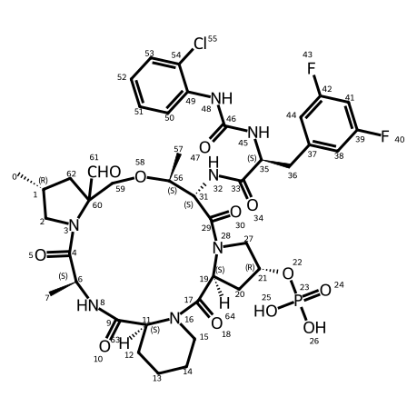 C[C@H]1CN2C(=O)[C@H](C)NC(=O)[C@@H]3CCCCN3C(=O)[C@@H]3C[C@@H](OP(=O)(O)O)CN3C(=O)[C@@H](NC(=O)[C@H](Cc3cc(F)cc(F)c3)NC(=O)Nc3ccccc3Cl)[C@H](C)OCC2(C=O)C1